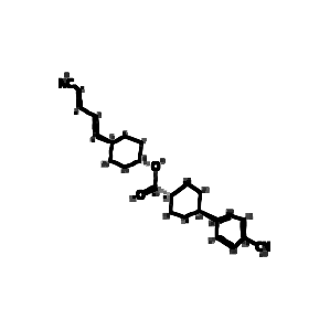 N#CC=CC=C[C@H]1CC[C@H](OC(=O)[C@H]2CC[C@H](c3ccc(C#N)cc3)CC2)CC1